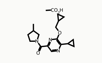 CC(=O)O.CC1CCN(C(=O)c2cnc(C3CC3)c(OCC3CC3)n2)C1